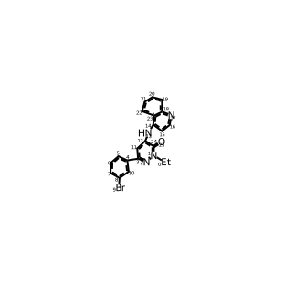 CCn1nc(-c2cccc(Br)c2)cc(Nc2ccnc3ccccc23)c1=O